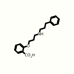 O=C(O)c1ccccc1OCCCNCCCc1ccccc1